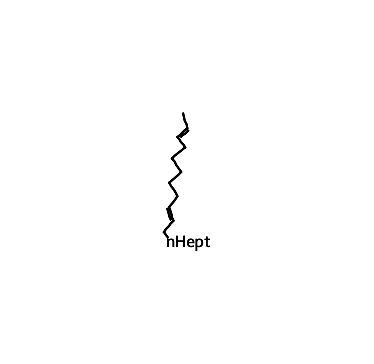 [CH2]CCCCCCCC=CCCCCCC=CC